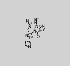 [N-]=[N+]=NCc1nc(-c2cccnc2)sc1N(CN=[N+]=[N-])C(=O)c1ccns1